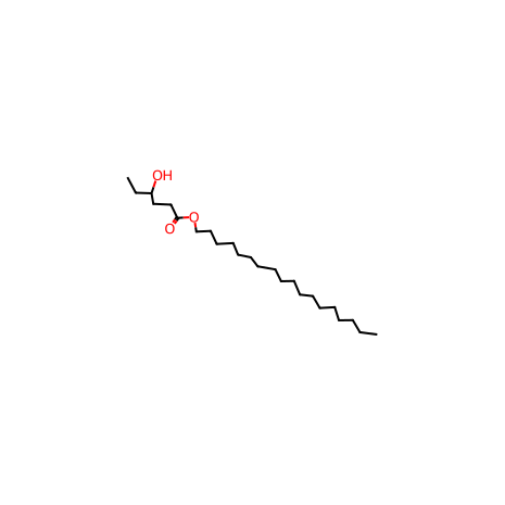 CCCCCCCCCCCCCCCCCCOC(=O)CCC(O)CC